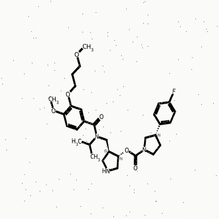 COCCCOc1cc(C(=O)N(C[C@@H]2CNC[C@H]2OC(=O)N2CC[C@@H](c3ccc(F)cc3)C2)C(C)C)ccc1OC